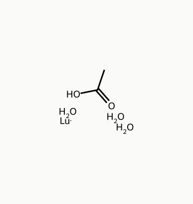 CC(=O)O.O.O.O.[Lu]